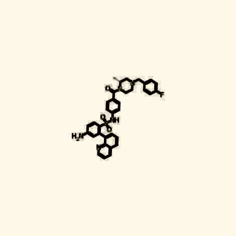 C[C@@H]1CN(Cc2ccc(F)cc2)CCN1C(=O)c1ccc(NS(=O)(=O)c2ccc(N)cc2-c2cccc3cccnc23)cc1